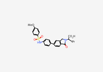 COc1ccc(S(=O)(=O)Nc2ccc(-c3ccc4c(c3)CN(C(C(=O)O)C(C)C)C4=O)cc2)cc1